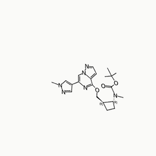 CN(C(=O)OC(C)(C)C)[C@@H]1CC[C@H]1COc1nc(-c2cnn(C)c2)cn2nccc12